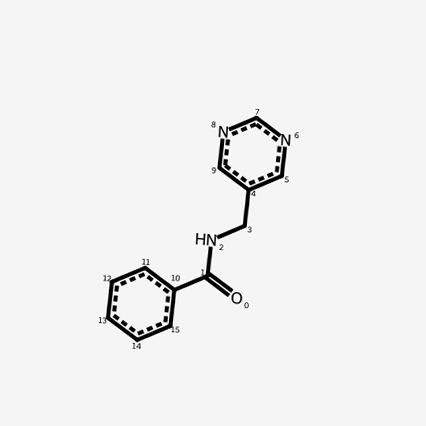 O=C(NCc1cncnc1)c1ccccc1